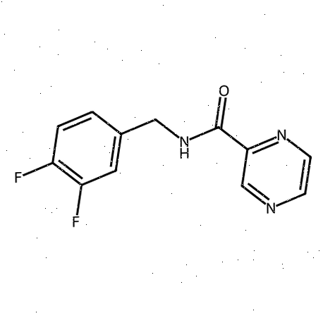 O=C(NCc1ccc(F)c(F)c1)c1cnccn1